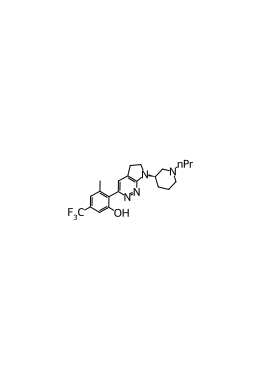 CCCN1CCC[C@@H](N2CCc3cc(-c4c(C)cc(C(F)(F)F)cc4O)nnc32)C1